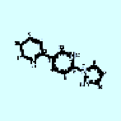 C1=CC(c2ccc(-n3cccn3)nc2)=NCC1